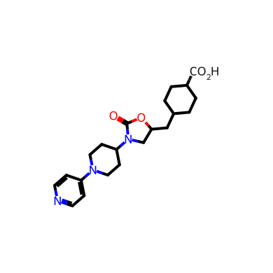 O=C(O)C1CCC(CC2CN(C3CCN(c4ccncc4)CC3)C(=O)O2)CC1